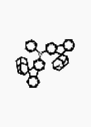 c1ccc(N(c2ccc3c(c2)C2(c4ccccc4-3)C3CCC4CC(C3)CC2C4)c2ccc3c(c2)C2(c4ccccc4-3)C3CC4CC(C3)CC2C4)cc1